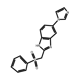 O=S(=O)(Cc1nc2cc(-n3ccnc3)ccc2[nH]1)c1ccccc1